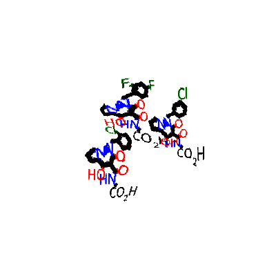 O=C(O)CNC(=O)c1c(O)c2cccn2n(Cc2ccc(F)cc2F)c1=O.O=C(O)CNC(=O)c1c(O)c2cccn2n(Cc2cccc(Cl)c2)c1=O.O=C(O)CNC(=O)c1c(O)c2cccn2n(Cc2ccccc2Cl)c1=O